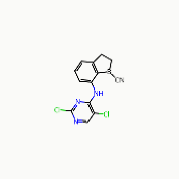 N#CB1CCc2cccc(Nc3nc(Cl)ncc3Cl)c21